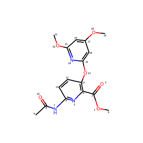 COC(=O)c1nc(NC(C)=O)ccc1Oc1cc(OC)cc(OC)n1